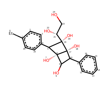 CCc1ccc(C2[C@]3(O)C(O)C(c4ccccc4)[C@]3(O)[C@]2(O)[C@H](O)CO)cc1